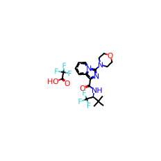 CC(C)(C)[C@H](NC(=O)c1nc(N2CCOCC2)n2ccccc12)C(F)(F)F.O=C(O)C(F)(F)F